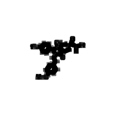 CCNC(=O)N1CCC2(CC1)C(=O)N(CCc1ccc(OC)cc1)C(c1ccc(C(C)(C)C)cc1)N2C